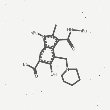 CCCCNC(=O)c1c(C)n(CCCC)c2cc(C(=O)CC)c(O)c(CN3CCCCC3)c12